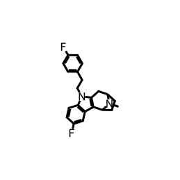 CN1C2CCC1c1c(n(CCc3ccc(F)cc3)c3ccc(F)cc13)C2